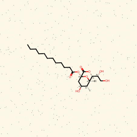 CCCCCCCCCCCC(=O)O[C@@]12C[C@H](O)[C@@H](C)[C@@H](O1)[C@@H]([C@H](O)CO)OC2=O